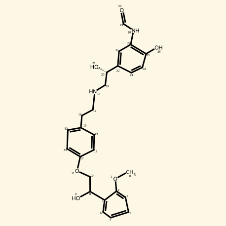 COc1ccccc1C(O)COc1ccc(CCNC[C@H](O)c2ccc(O)c(NC=O)c2)cc1